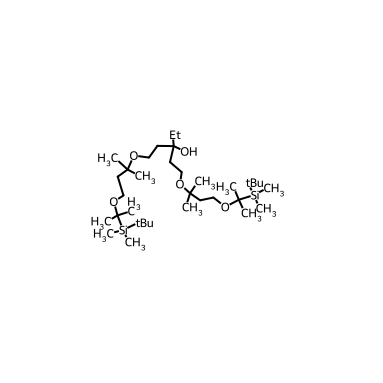 CCC(O)(CCOC(C)(C)CCOC(C)(C)[Si](C)(C)C(C)(C)C)CCOC(C)(C)CCOC(C)(C)[Si](C)(C)C(C)(C)C